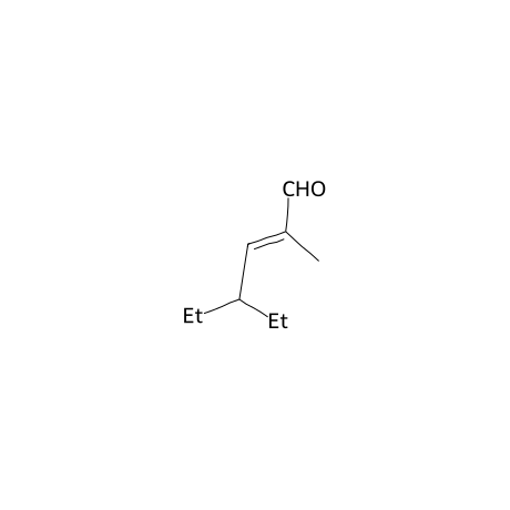 CCC(/C=C(\C)C=O)CC